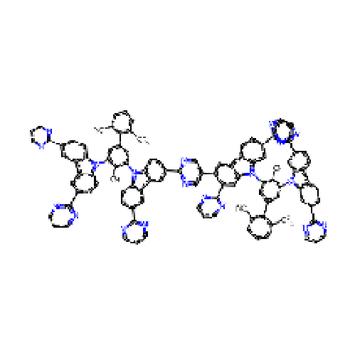 N#Cc1cccc(C(F)(F)F)c1-c1cc(-n2c3ccc(-c4ncccn4)cc3c3cc(-c4ncccn4)ccc32)c(C#N)c(-n2c3ccc(-c4ncccn4)cc3c3cc(-c4ncc(-c5cc6c7ccc(-c8ncccn8)cc7n(-c7cc(-c8c(C#N)cccc8C(F)(F)F)cc(-n8c9cc(-c%10ncccn%10)ccc9c9ccc(-c%10ncccn%10)cc98)c7C#N)c6cc5-c5ncccn5)cn4)ccc32)c1